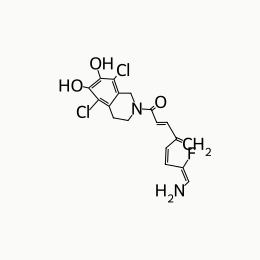 C=C(/C=C\C(F)=C/N)/C=C/C(=O)N1CCc2c(Cl)c(O)c(O)c(Cl)c2C1